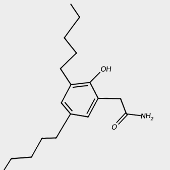 CCCCCc1cc(CCCCC)c(O)c(CC(N)=O)c1